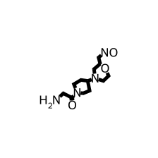 NCC(=O)N1CCC(N2CCOC(CN=O)C2)CC1